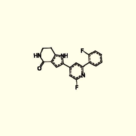 O=C1NCCc2[nH]c(-c3cc(F)nc(-c4ccccc4F)c3)cc21